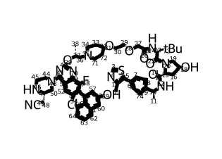 Cc1ncsc1-c1ccc([C@H](C)NC(=O)[C@@H]2C[C@@H](O)CN2C(=O)[C@@H](NC(=O)COCCOC2CCN(C[C@@H](C)Oc3nc(N4CCN[C@@H](CC#N)C4)c4cc(Cl)c(-c5cc(O)cc6ccccc56)c(F)c4n3)CC2)C(C)(C)C)cc1